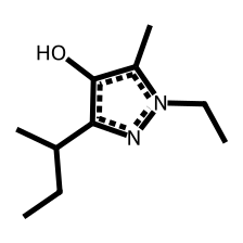 CCC(C)c1nn(CC)c(C)c1O